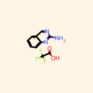 Nc1ncc2ccccc2n1.O=C(O)C(F)(F)F